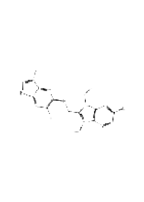 CCn1c(CNc2nc3c(C)c[nH]c3nc2N)[n+](CC)c2ccc(Cl)cc21